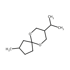 CC1CCC2(C1)OCC(C(C)C)CO2